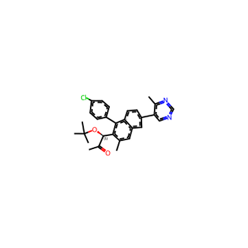 CC(=O)[C@@H](OC(C)(C)C)c1c(C)cc2cc(-c3cncnc3C)ccc2c1-c1ccc(Cl)cc1